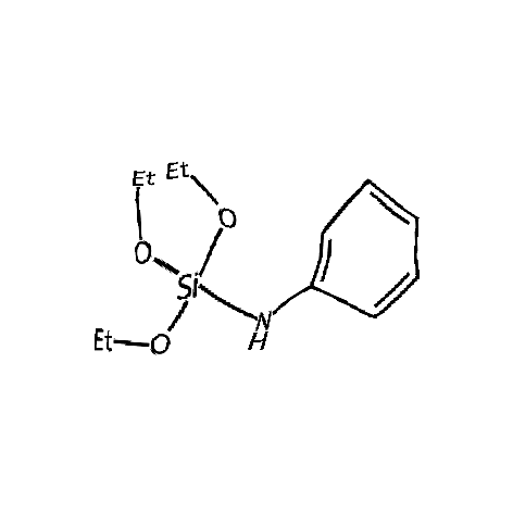 CCO[Si](Nc1ccccc1)(OCC)OCC